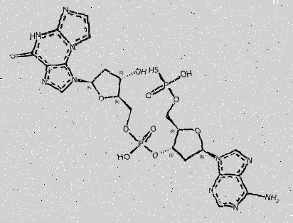 Nc1ncnc2c1ncn2[C@H]1C[C@H](OP(=O)(O)OC[C@H]2O[C@@H](n3cnc4c(=O)[nH]c5nccn5c43)C[C@@H]2O)[C@@H](COP(=O)(O)S)O1